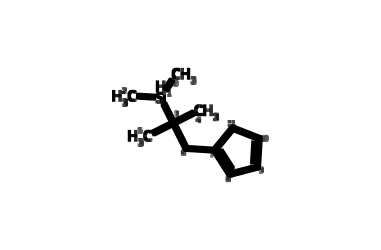 C[SiH](C)C(C)(C)CC1=CC=CC1